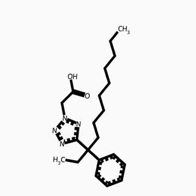 CCCCCCCCCC(CC)(c1ccccc1)c1nnn(CC(=O)O)n1